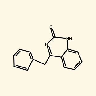 O=c1nc(Cc2ccccc2)c2ccccc2[nH]1